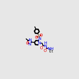 CCNC(=O)NC(=O)Cn1ccc(-c2noc(C)n2)c/c1=N\S(=O)(=O)c1ccc(C)cc1